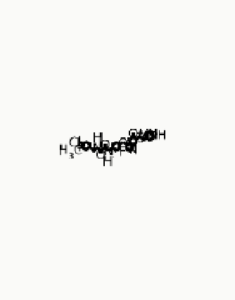 COc1cc2c(Oc3ccc(NC(=O)C(=O)NCc4ccc(Cl)c(C)c4)cc3F)ccnc2cc1OCC1CCNCC1